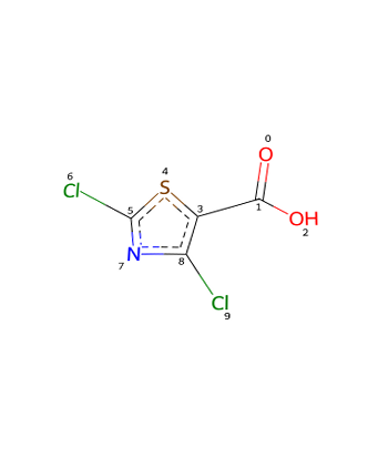 O=C(O)c1sc(Cl)nc1Cl